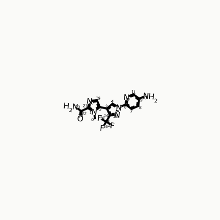 Cn1c(-c2cn(-c3ccc(N)cn3)nc2C(F)(F)F)cnc1C(N)=O